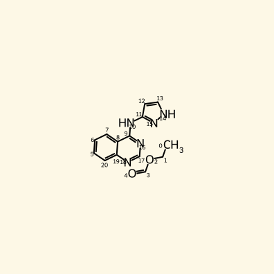 CCOC=O.c1ccc2c(Nc3cc[nH]n3)ncnc2c1